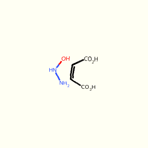 NNO.O=C(O)/C=C\C(=O)O